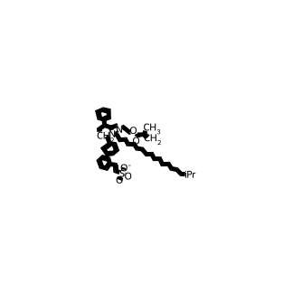 C=CC(c1ccccc1)C1CN(CCOC(=O)C(=C)C)C(CCCCCCCCCCCCCCCC(C)C)=[N+]1Cc1ccccc1.O=S(=O)([O-])C=Cc1ccccc1